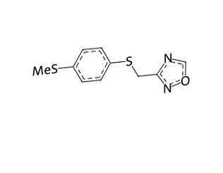 CSc1ccc(SCc2ncon2)cc1